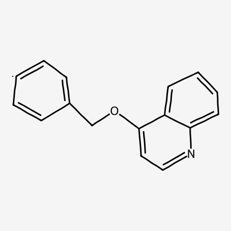 [c]1ccc(COc2ccnc3ccccc23)cc1